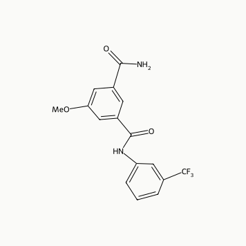 COc1cc(C(N)=O)cc(C(=O)Nc2cccc(C(F)(F)F)c2)c1